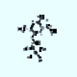 COc1cc(CNC(=O)C(F)(F)F)c(C)cc1N